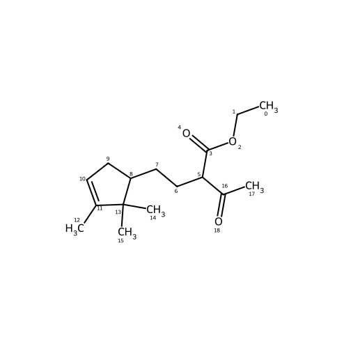 CCOC(=O)C(CCC1CC=C(C)C1(C)C)C(C)=O